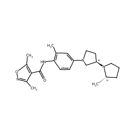 Cc1cc(N2CC[C@@H](N3CCC[C@@H]3C)C2)ccc1NC(=O)c1c(C)noc1C